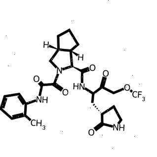 Cc1ccccc1NC(=O)C(=O)N1C[C@@H]2CCC[C@@H]2[C@H]1C(=O)NC(C[C@@H]1CCNC1=O)C(=O)COC(F)(F)F